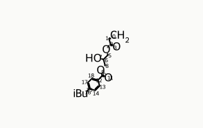 C=CC(=O)OCC(O)COC(=O)c1ccc(C(C)CC)cc1